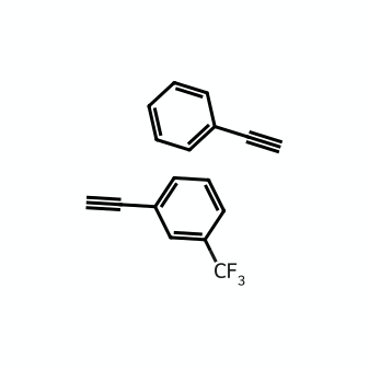 C#Cc1cccc(C(F)(F)F)c1.C#Cc1ccccc1